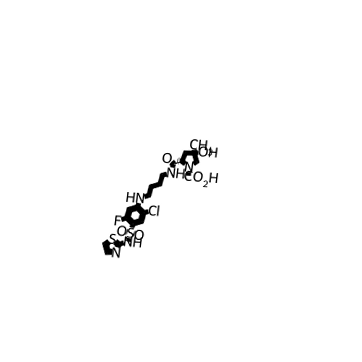 CC1(O)C[C@@H](C(=O)NCCCCNc2cc(F)c(S(=O)(=O)Nc3nccs3)cc2Cl)N(C(=O)O)C1